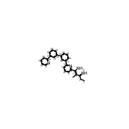 CCC(=N)/C(C)=C(\N)c1cccc(-c2cccc(-c3cccc(-c4ccccn4)c3)c2)n1